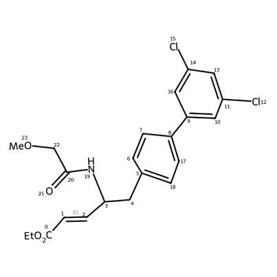 CCOC(=O)/C=C/C(Cc1ccc(-c2cc(Cl)cc(Cl)c2)cc1)NC(=O)COC